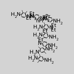 CCCN(CCC)c1ccc(N)cc1.CCN(CC)c1ccc(N)c(C)c1.CCN(CC)c1ccc(N)cc1.CCc1cc(N)cc(CC)c1N.CN(C)c1ccc(N)cc1.Cc1c(N)ccc(N)c1C.Cc1cc(N)c(C)cc1N.Cc1cc(N)cc(C)c1N